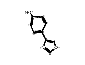 Oc1ccc(-c2cocn2)cc1